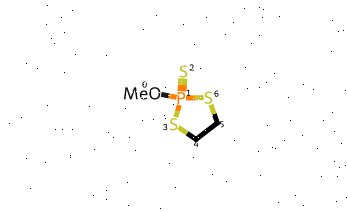 COP1(=S)SCCS1